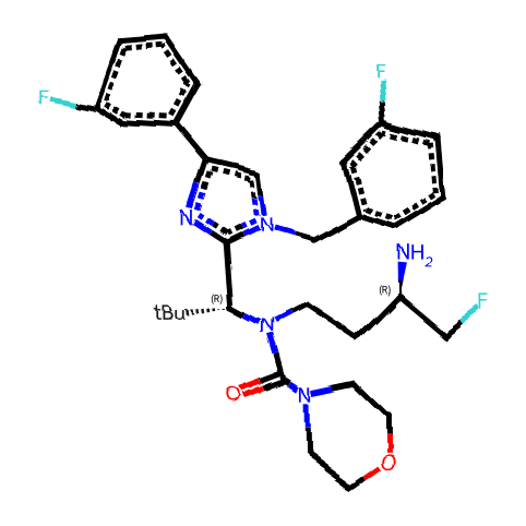 CC(C)(C)[C@H](c1nc(-c2cccc(F)c2)cn1Cc1cccc(F)c1)N(CC[C@@H](N)CF)C(=O)N1CCOCC1